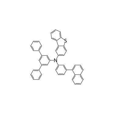 c1ccc(-c2cc(-c3ccccc3)cc(N(c3cccc(-c4cccc5ccccc45)c3)c3ccc4sc5ccccc5c4c3)c2)cc1